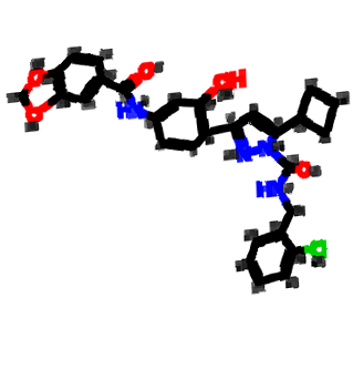 O=C(Nc1ccc(-c2cc(C3CCC3)n(C(=O)NCc3ccccc3Cl)n2)c(O)c1)c1ccc2c(c1)OCO2